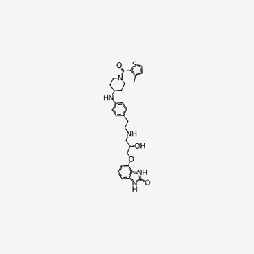 Cc1ccsc1C(=O)N1CCC(Nc2ccc(CCNC[C@@H](O)COc3cccc4[nH]c(=O)[nH]c34)cc2)CC1